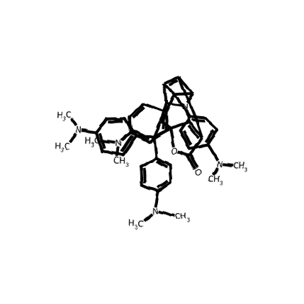 CN(C)c1ccc(C2(c3ccc(N(C)C)cc3)C3=C4C5=C6N(C3C3C6(OC5=O)C3(c3ccc(N(C)C)cc3)c3ccc(N(C)C)cc3)C42)cc1